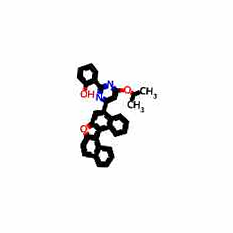 CC(C)Oc1cc(-c2cc3oc4ccc5ccccc5c4c3c3ccccc23)nc(-c2ccccc2O)n1